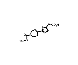 CC(C)(C)OC(=O)N1CCC(c2nc(OC(=O)O)cs2)CC1